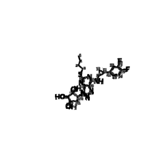 CCCCSc1nc(NC2CC2c2ccc(F)c(F)c2)c2nnn([C@H]3C[C@@H](O)[C@@H](O)[C@@H]3O)c2n1